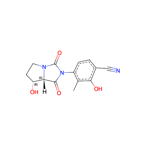 Cc1c(N2C(=O)[C@@H]3[C@H](O)CCN3C2=O)ccc(C#N)c1O